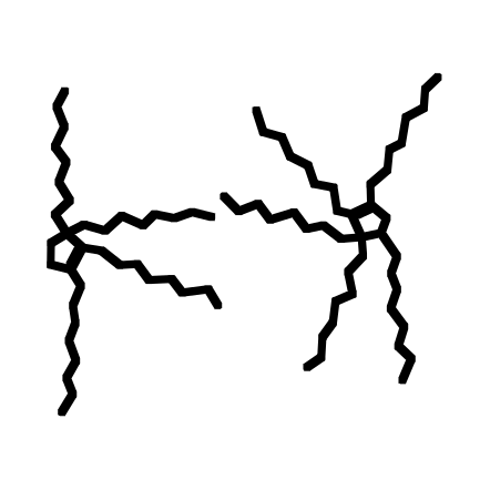 CCCCCCCCC1=C(CCCCCCCC)C(CCCCCCCC)(CCCCCCCC)C(CCCCCCCC)C1.CCCCCCCCC1=C(CCCCCCCC)C(CCCCCCCC)(CCCCCCCC)CC1